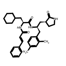 Cc1ccc(C[C@H](C[C@@H]2CCNC2=O)NC(=O)[C@H](CC2CCCCC2)NC(=O)C=Cc2ccccc2)c(C)c1